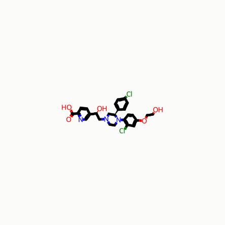 O=C(O)c1ccc([C@H](O)CN2CCN(c3ccc(OCCO)cc3Cl)[C@H](c3ccc(Cl)cc3)C2)cn1